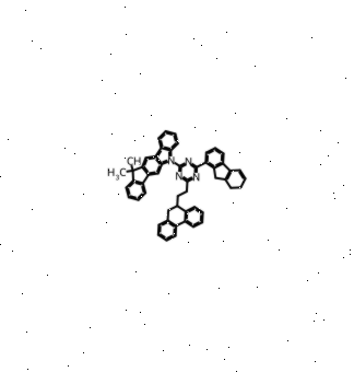 CC1(C)c2ccccc2-c2cc3c(cc21)c1ccccc1n3-c1nc(CCC2Cc3ccccc3-c3ccccc32)nc(-c2cccc3c2CC2=C3C=CCC2)n1